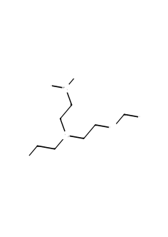 CCCN(CCOCC)CCN(C)O